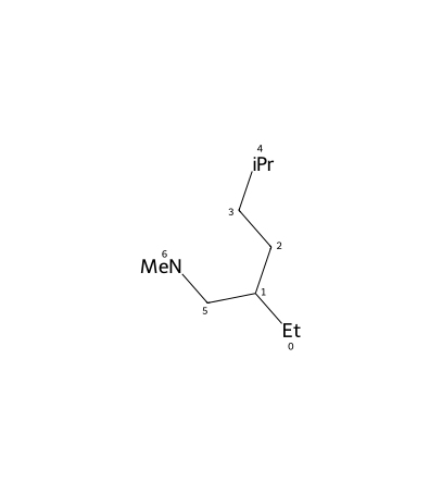 CCC(CCC(C)C)CNC